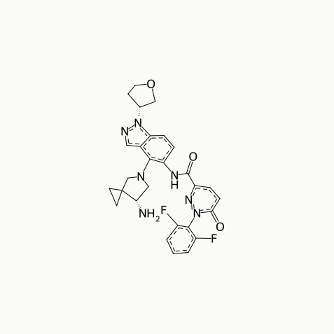 N[C@H]1CN(c2c(NC(=O)c3ccc(=O)n(-c4c(F)cccc4F)n3)ccc3c2cnn3[C@@H]2CCOC2)CC12CC2